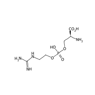 N=C(N)NCCOP(=O)(O)OC[C@H](N)C(=O)O